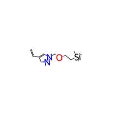 C=Cc1cnn(COCC[Si](C)(C)C)c1